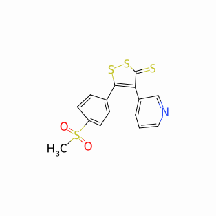 CS(=O)(=O)c1ccc(-c2ssc(=S)c2-c2cccnc2)cc1